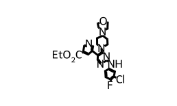 CCOC(=O)c1cncc(-c2cnc(Nc3ccc(F)c(Cl)c3)nc2N2CCC(N3CCOCC3)CC2)c1